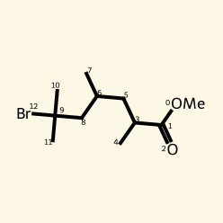 COC(=O)C(C)CC(C)CC(C)(C)Br